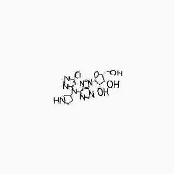 OC[C@H]1O[C@@H](n2cnc3c(N(c4cc(Cl)ncn4)[C@H]4CCNC4)ncnc32)[C@@H](O)[C@H]1O